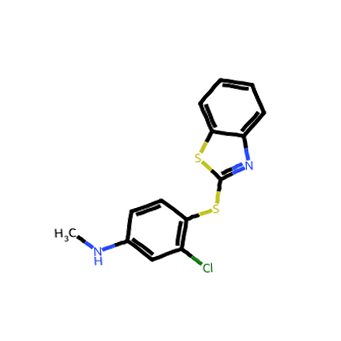 CNc1ccc(Sc2nc3ccccc3s2)c(Cl)c1